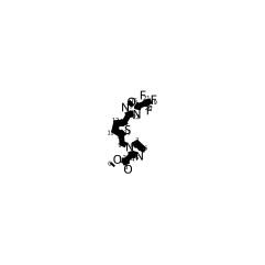 COC(=O)c1nccn1Cc1ccc(-c2noc(C(F)(F)F)n2)s1